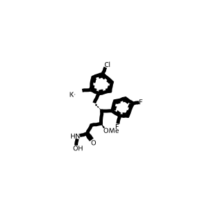 CO[C@H](CC(=O)NO)[C@H](Cc1ccc(Cl)cc1C)c1ccc(F)cc1F.[K]